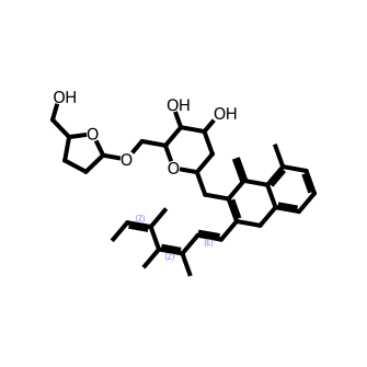 C=C1C(CC2CC(O)C(O)C(COC3CCC(CO)O3)O2)=C(/C=C/C(C)=C(C)\C(C)=C/C)Cc2cccc(C)c21